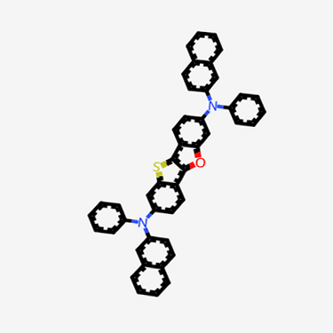 c1ccc(N(c2ccc3ccccc3c2)c2ccc3c(c2)oc2c4ccc(N(c5ccccc5)c5ccc6ccccc6c5)cc4sc32)cc1